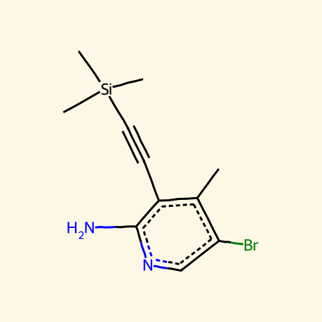 Cc1c(Br)cnc(N)c1C#C[Si](C)(C)C